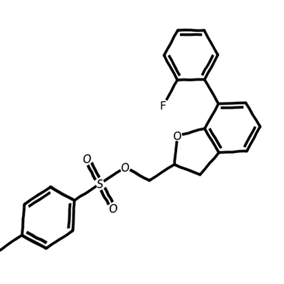 Cc1ccc(S(=O)(=O)OCC2Cc3cccc(-c4ccccc4F)c3O2)cc1